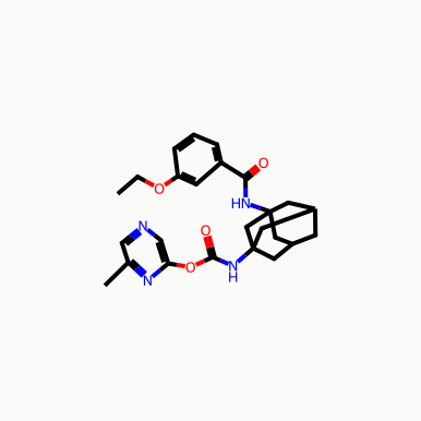 CCOc1cccc(C(=O)NC23CC4CC(CC(NC(=O)Oc5cncc(C)n5)(C4)C2)C3)c1